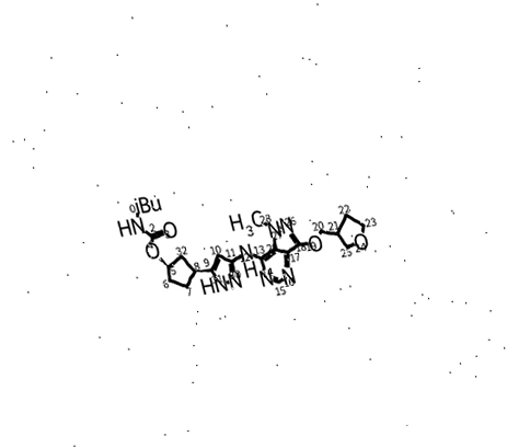 CCC(C)NC(=O)O[C@@H]1CC[C@H](c2cc(Nc3ncnc4c(OCC5CCOC5)nn(C)c34)n[nH]2)C1